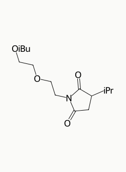 CC(C)COCCOCCN1C(=O)CC(C(C)C)C1=O